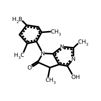 Bc1cc(C)c(N2C(=O)C(C)c3c(O)nc(C)nc32)c(C)c1